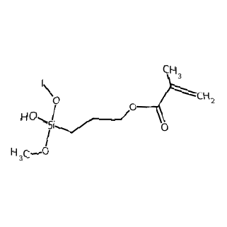 C=C(C)C(=O)OCCC[Si](O)(OC)OI